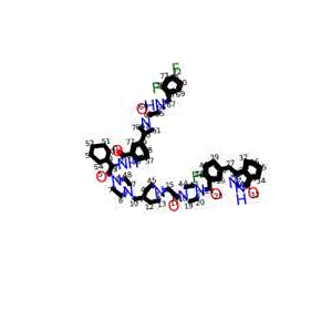 O=C(N[C@@H](C(=O)N1CCN(CC2CCN(CC(=O)N3CCN(C(=O)c4cc(Cc5n[nH]c(=O)c6ccccc56)ccc4F)CC3)CC2)CC1)C1CCCCC1)c1cccc(C2CN(C(=O)CNCc3ccc(F)cc3F)C2)c1